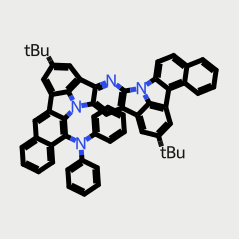 CC(C)(C)c1cc2c3cc4c(nc3n3c5ccc6ccccc6c5c(c1)c23)c1cc(C(C)(C)C)cc2c3cc5ccccc5c(N(c5ccccc5)c5ccccc5)c3n4c21